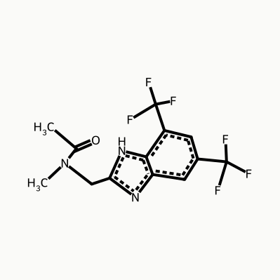 CC(=O)N(C)Cc1nc2cc(C(F)(F)F)cc(C(F)(F)F)c2[nH]1